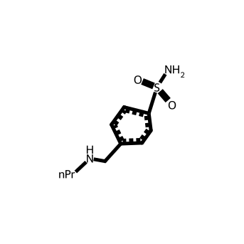 CCCNCc1ccc(S(N)(=O)=O)cc1